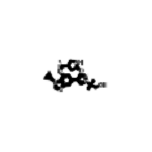 C[C@@H](Oc1cc(-c2cnn(C(C)(C)CO)c2)cc2ncn(C3CC3)c12)C1CNC(=O)C1